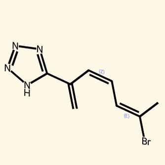 C=C(/C=C\C=C(/C)Br)c1nnn[nH]1